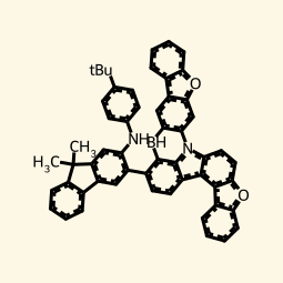 CC(C)(C)c1ccc(Nc2cc3c(cc2-c2ccc4c5c6c(ccc5n5c4c2Bc2cc4c(cc2-5)oc2ccccc24)oc2ccccc26)-c2ccccc2C3(C)C)cc1